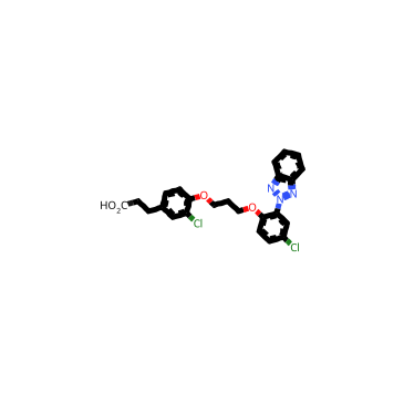 O=C(O)CCc1ccc(OCCCOc2ccc(Cl)cc2-n2nc3ccccc3n2)c(Cl)c1